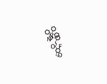 O=C(C=Cc1ccccc1-c1cncn1C(c1ccccc1)(c1ccccc1)c1ccccc1)c1cc2c(cc1F)OCC2